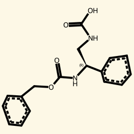 O=C(O)NC[C@H](NC(=O)OCc1ccccc1)c1ccccc1